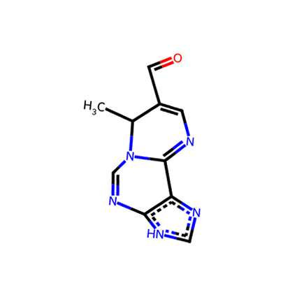 CC1C(C=O)=CN=C2c3nc[nH]c3N=CN21